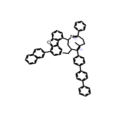 CCC1CC(c2cccc3oc4c(-c5ccc6ccccc6c5)cccc4c23)/N=C(/c2ccccc2)CC/C(C)=C/1c1ccc(-c2ccc(-c3ccccc3)cc2)cc1